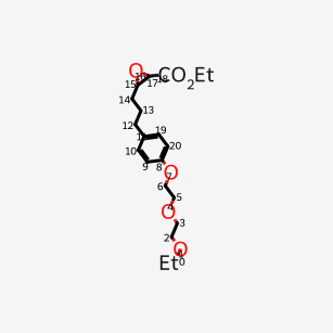 CCOCCOCCOc1ccc(CCCC2OC2C(=O)OCC)cc1